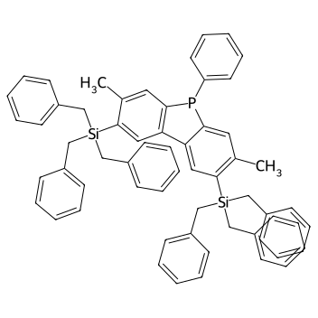 Cc1cc2c(cc1[Si](Cc1ccccc1)(Cc1ccccc1)Cc1ccccc1)c1cc([Si](Cc3ccccc3)(Cc3ccccc3)Cc3ccccc3)c(C)cc1p2-c1ccccc1